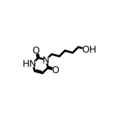 O=c1cc[nH]c(=O)n1CCCCCO